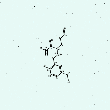 C=CCCC(NCc1cc(CC)ccc1C)C(=C)NC